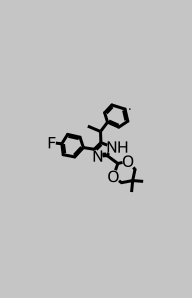 CC(c1cc[c]cc1)c1[nH]c(C2OCC(C)(C)CO2)nc1-c1ccc(F)cc1